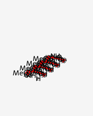 COc1ccc(CC(=O)[C@H](CCCCNC(=O)OCc2ccccc2)NC(=O)c2cc(CC(=O)[C@H](CCCCNC(=O)OCc3ccccc3)NC(=O)c3cc(CC(=O)[C@H](CCCCNC(=O)OCc4ccccc4)NC(=O)c4cc(CC(=O)[C@@H](N)CCCCNC(=O)OCc5ccccc5)ccc4OC)ccc3OC)ccc2OC)cc1C(N)=O